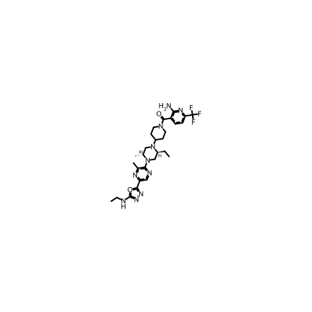 CCNc1nnc(-c2cnc(N3C[C@H](CC)N(C4CCN(C(=O)c5ccc(C(F)(F)F)nc5N)CC4)C[C@H]3C)c(C)n2)o1